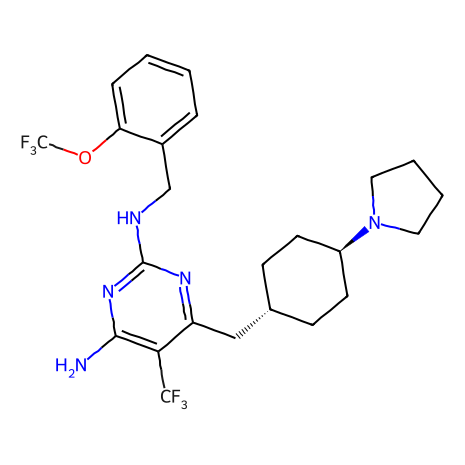 Nc1nc(NCc2ccccc2OC(F)(F)F)nc(C[C@H]2CC[C@H](N3CCCC3)CC2)c1C(F)(F)F